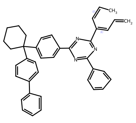 C=C/C=C(\C=C/C)c1nc(-c2ccccc2)nc(-c2ccc(C3(c4ccc(-c5ccccc5)cc4)CCCCC3)cc2)n1